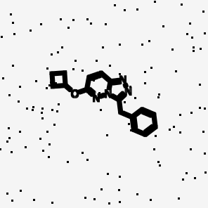 c1ccc(Cc2nnc3ccc(OC4CCC4)nn23)cc1